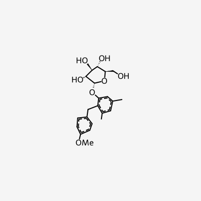 COc1ccc(Cc2c(C)cc(C)cc2O[C@H]2O[C@H](CO)[C@@H](O)[C@H](O)[C@H]2O)cc1